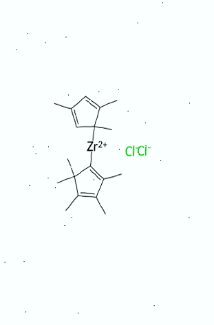 CC1=C[C](C)([Zr+2][C]2=C(C)C(C)=C(C)C2(C)C)C(C)=C1.[Cl-].[Cl-]